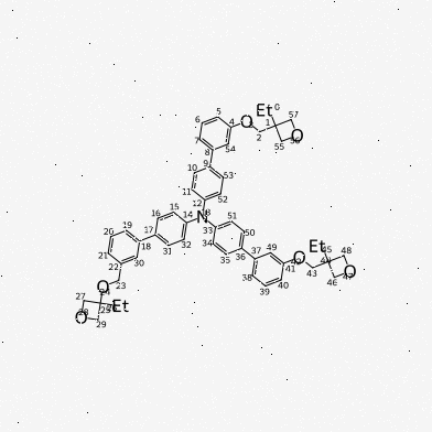 CCC1(COc2cccc(-c3ccc(N(c4ccc(-c5cccc(COC6(CC)COC6)c5)cc4)c4ccc(-c5cccc(OCC6(CC)COC6)c5)cc4)cc3)c2)COC1